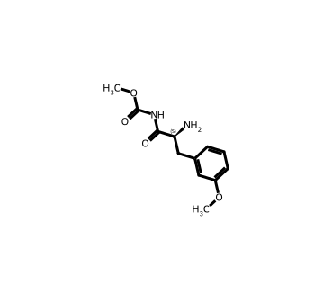 COC(=O)NC(=O)[C@@H](N)Cc1cccc(OC)c1